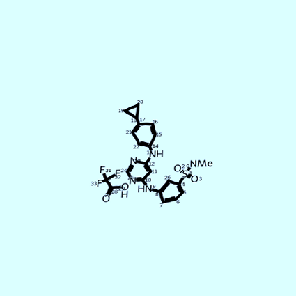 CNS(=O)(=O)c1cccc(Nc2cc(Nc3ccc(C4CC4)cc3)ncn2)c1.O=C(O)C(F)(F)F